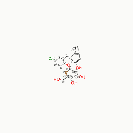 Cc1ccccc1Cc1cc(Cl)ccc1O[C@@H]1S[C@H](CO)[C@@H](O)[C@H](O)[C@H]1O